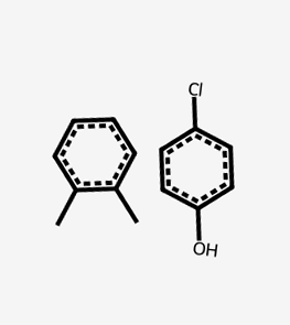 Cc1ccccc1C.Oc1ccc(Cl)cc1